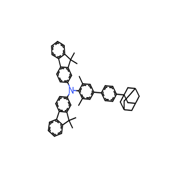 Cc1cc(-c2ccc(C34CC5CC(CC(C5)C3)C4)cc2)cc(C)c1N(c1ccc2c(c1)C(C)(C)c1ccccc1-2)c1ccc2c(c1)C(C)(C)c1ccccc1-2